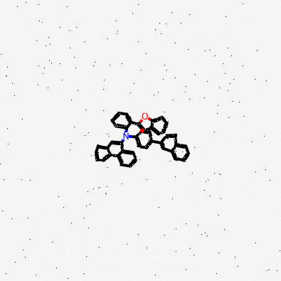 c1ccc(N(c2ccc(-c3ccc4ccccc4c3)cc2)c2cc3ccccc3c3ccccc23)c(-c2cc3ccccc3o2)c1